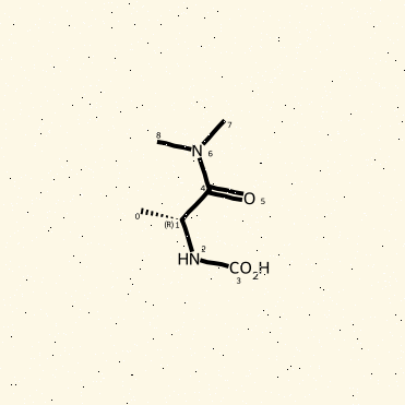 C[C@@H](NC(=O)O)C(=O)N(C)C